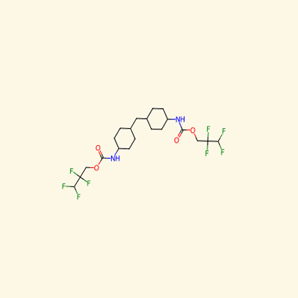 O=C(NC1CCC(CC2CCC(NC(=O)OCC(F)(F)C(F)F)CC2)CC1)OCC(F)(F)C(F)F